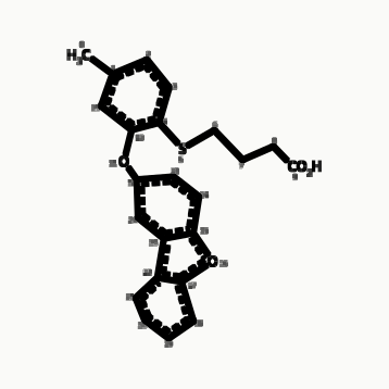 Cc1ccc(SCCCC(=O)O)c(Oc2ccc3oc4ccccc4c3c2)c1